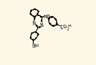 CC(C)(C)c1ccc(-c2nc(Nc3ccc(C(=O)O)cc3)c3ccccc3n2)cc1